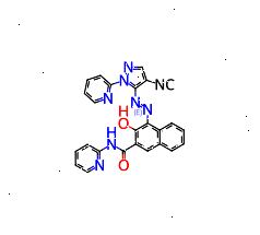 [C-]#[N+]c1cnn(-c2ccccn2)c1/N=N/c1c(O)c(C(=O)Nc2ccccn2)cc2ccccc12